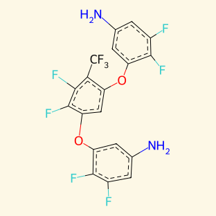 Nc1cc(F)c(F)c(Oc2cc(Oc3cc(N)cc(F)c3F)c(C(F)(F)F)c(F)c2F)c1